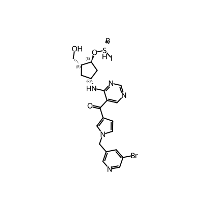 O=C(c1ccn(Cc2cncc(Br)c2)c1)c1cncnc1N[C@@H]1C[C@H](CO)[C@@H](O[SH](#P)I)C1